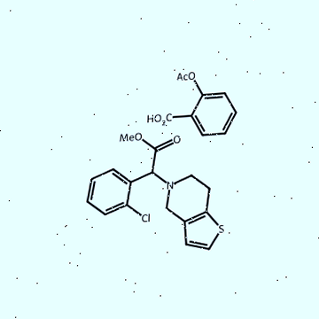 CC(=O)Oc1ccccc1C(=O)O.COC(=O)C(c1ccccc1Cl)N1CCc2sccc2C1